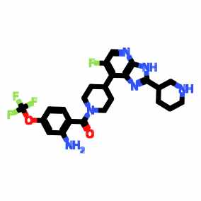 Nc1cc(OC(F)(F)F)ccc1C(=O)N1CCC(c2c(F)cnc3[nH]c(C4CCCNC4)nc23)CC1